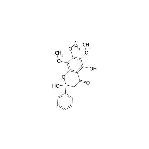 COc1c(O)c2c(c(OC)c1OC)OC(O)(c1ccccc1)CC2=O